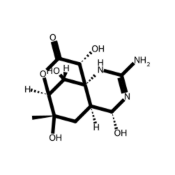 C[C@]1(O)C[C@@H]2[C@@H](O)N=C(N)N[C@]23[C@@H](O)C(=O)O[C@H]1[C@@H]3O